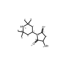 CCCC1CC(=O)N(C2CC(C)(C)NC(C)(C)C2)C1=O